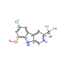 COc1cc(Cl)cc2c1[nH]c1cnc(C(F)(F)F)cc12